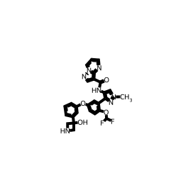 Cn1cc(NC(=O)c2cnn3cccnc23)c(-c2cc(Oc3cccc(C4(O)CNC4)c3)ccc2OC(F)F)n1